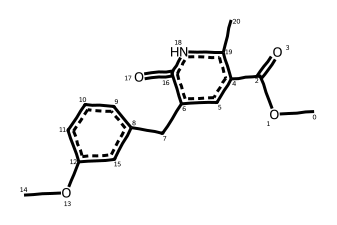 COC(=O)c1cc(Cc2cccc(OC)c2)c(=O)[nH]c1C